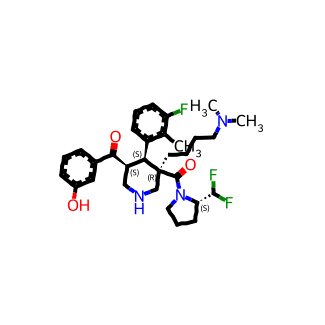 Cc1c(F)cccc1[C@@H]1[C@H](C(=O)c2cccc(O)c2)CNC[C@]1(CCCCN(C)C)C(=O)N1CCC[C@H]1C(F)F